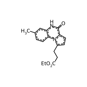 CCOC(=O)CCc1ccc2c(=O)[nH]c3cc(C)ccc3n12